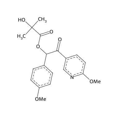 COc1ccc(C(OC(=O)C(C)(C)O)C(=O)c2ccc(OC)nc2)cc1